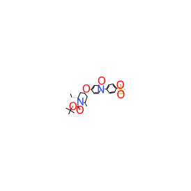 CC[C@@H]1C[C@@H](Oc2ccn(-c3ccc(S(C)(=O)=O)cc3)c(=O)c2)C[C@@H](C)N1C(=O)OC(C)(C)C